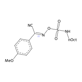 CCCCCCCCNS(=O)(=O)O/N=C(\C#N)c1ccc(OC)cc1